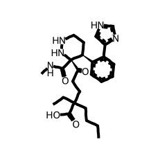 CCCCC(CC)(CCC(=O)[C@@]1(C(=O)NC)NNCC[C@H]1c1ccccc1-c1c[nH]cn1)C(=O)O